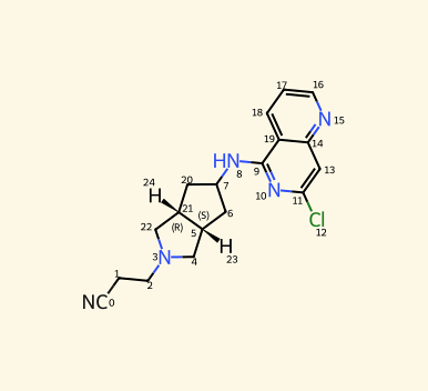 N#CCCN1C[C@H]2CC(Nc3nc(Cl)cc4ncccc34)C[C@H]2C1